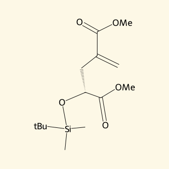 C=C(C[C@@H](O[Si](C)(C)C(C)(C)C)C(=O)OC)C(=O)OC